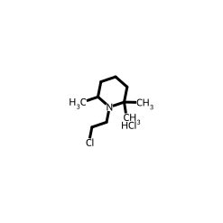 CC1CCCC(C)(C)N1CCCl.Cl